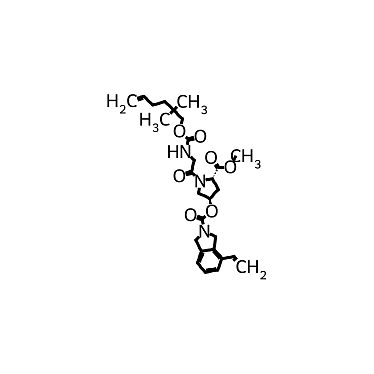 C=CCCC(C)(C)COC(=O)NCC(=O)N1C[C@H](OC(=O)N2Cc3cccc(C=C)c3C2)C[C@H]1C(=O)OC